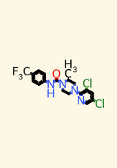 C[C@@H]1CN(c2ncc(Cl)cc2Cl)CCN1C(=O)Nc1ccc(C(F)(F)F)cc1